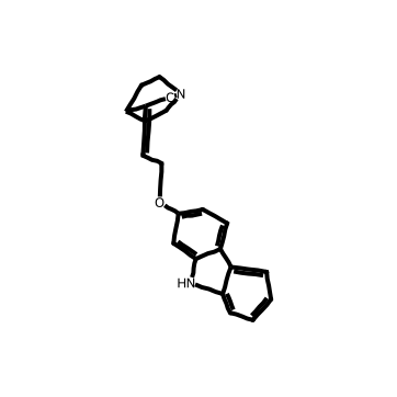 C(/COc1ccc2c(c1)[nH]c1ccccc12)=C1/CN2CCC1CC2